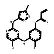 C=CC(=O)Nc1ccc(F)c(Nc2nc(Nc3cc(C)no3)ncc2Cl)c1